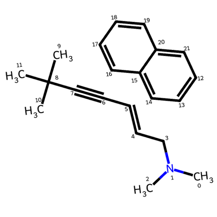 CN(C)C/C=C/C#CC(C)(C)C.c1ccc2ccccc2c1